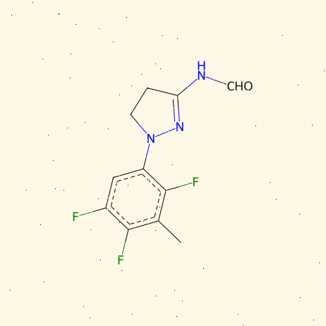 Cc1c(F)c(F)cc(N2CCC(NC=O)=N2)c1F